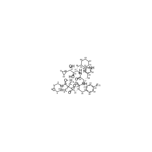 CC(C)(C(=O)N1CCOCC1)S(=O)(=O)C[C@@H](Cc1ccc(F)cc1)C(=O)N[C@@H](Cc1c[nH]cn1)C(=O)N[C@@H](CC1CCCCC1)[C@@H](O)[C@@H](O)C1CC1